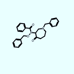 O=C1CCCN(Cc2ccccc2)CC1N(OCc1ccccc1)C(=O)c1ccccc1